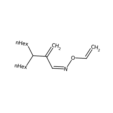 C=CO/N=C\C(=C)C(CCCCCC)CCCCCC